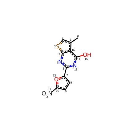 Cc1csc2nc(-c3ccc([N+](=O)[O-])o3)nc(O)c12